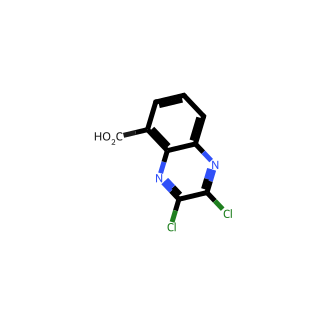 O=C(O)c1cccc2nc(Cl)c(Cl)nc12